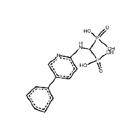 O=P(O)(O)C(Nc1ccc(-c2ccccc2)cn1)P(=O)(O)O